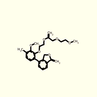 C=C(COCCOC)OCCOc1c(-c2cccc3c2COC3=C)ccc(C)c1OC